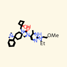 CCN(CCOC)C1=NC=C(N2C[C@]3(CC[C@](c4ccccc4)(N(C)C)CC3)N(CC3(O)CCC3)C2=O)C(C)N1